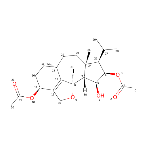 CC(=O)O[C@H]1[C@@H](O)[C@@H]2[C@H]3OCC4=C3[C@@](C)(CC[C@@H]4OC(C)=O)CC[C@]2(C)[C@H]1C(C)C